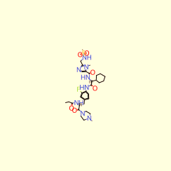 CCC(=O)N[C@H](Cc1ccc(NC(=O)[C@@H](NC(=O)c2cnc(CNS(C)(=O)=O)n2C)C2CCCCC2)c(F)c1)C(=O)N1CCN(C)CC1